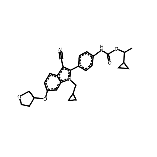 CC(OC(=O)Nc1ccc(-c2c(C#N)c3ccc(OC4CCOC4)cc3n2CC2CC2)cc1)C1CC1